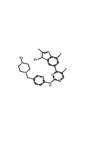 CCN1CCN(Cc2ccc(Nc3ncc(F)c(-c4cc(F)c5c(c4)C(C(C)C)C(C)=N5)n3)nc2)CC1